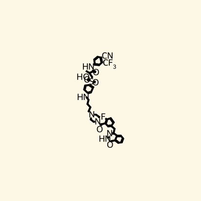 CC(O)(CS(=O)(=O)c1ccc(NCCCCN2CCN(C(=O)c3cc(Cc4n[nH]c(=O)c5ccccc45)ccc3F)CC2)cc1)C(=O)Nc1ccc(C#N)c(C(F)(F)F)c1